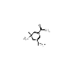 CC1(C(=O)O)C=C(C(N)=O)C=C(C(=O)O)C1